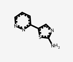 Nc1ncc(-c2cccnn2)s1